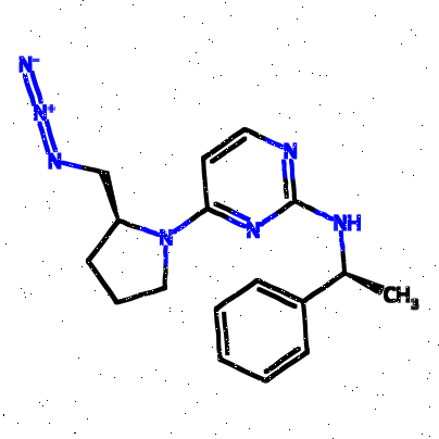 C[C@H](Nc1nccc(N2CCC[C@H]2CN=[N+]=[N-])n1)c1ccccc1